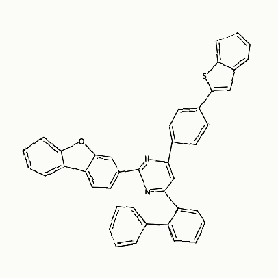 c1ccc(-c2ccccc2-c2cc(-c3ccc(-c4cc5ccccc5s4)cc3)nc(-c3ccc4c(c3)oc3ccccc34)n2)cc1